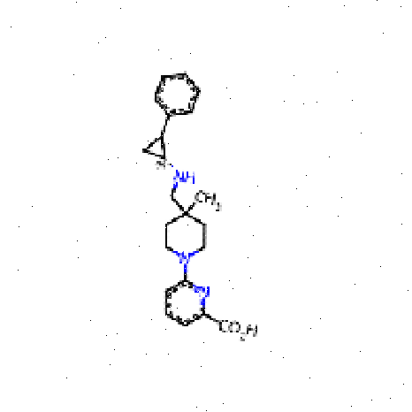 CC1(CN[C@@H]2CC2c2ccccc2)CCN(c2cccc(C(=O)O)n2)CC1